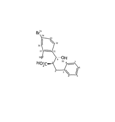 O=C(O)[C@H](Cc1ccccc1)[C@@H](O)c1ccc(Br)cc1F